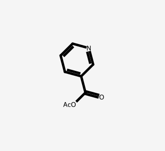 [CH2]C(=O)OC(=O)c1cccnc1